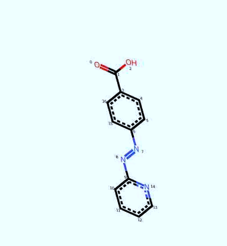 O=C(O)c1ccc(/N=N/c2ccccn2)cc1